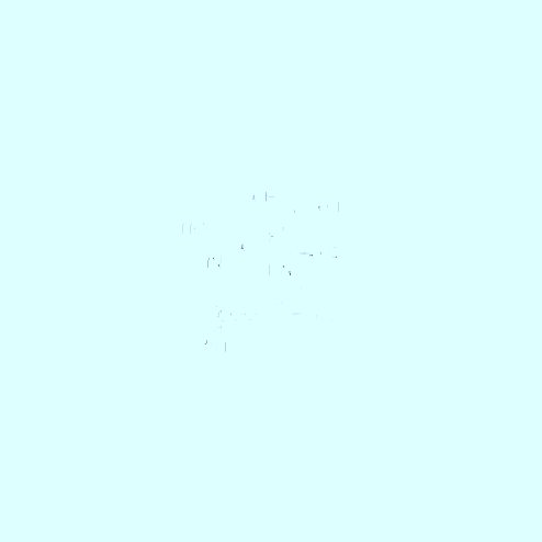 CC(C)(CO)C(O)C(=O)NCCC(=O)[O-].CC(C)(CO)C(O)C(=O)NCCC(=O)[O-].CO.[Ca+2]